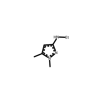 CCNc1cc(C)n(C)n1